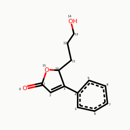 O=C1C=C(c2ccccc2)C(CCCO)O1